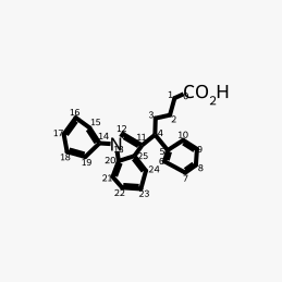 O=C(O)CCCC(c1ccccc1)c1cn(-c2ccccc2)c2ccccc12